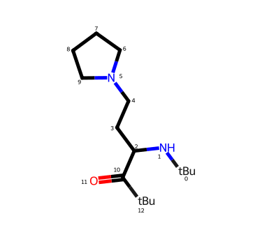 CC(C)(C)NC(CCN1CCCC1)C(=O)C(C)(C)C